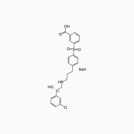 O=C(O)c1cccc(S(=O)(=O)c2ccc(CCCNC[C@@H](O)c3cccc(Cl)c3)cc2)c1.[NaH]